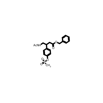 CC(=O)NCC(CC(=O)OCc1ccccc1)c1ccc(OS(C)(=O)=O)cc1